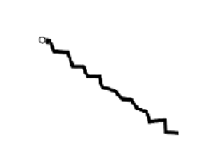 CCCCCCC=CCCCCCCCCC=O